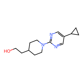 OCCC1CCN(c2ncc(C3CC3)cn2)CC1